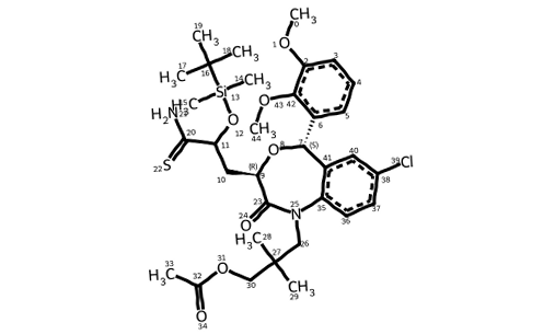 COc1cccc([C@H]2O[C@H](CC(O[Si](C)(C)C(C)(C)C)C(N)=S)C(=O)N(CC(C)(C)COC(C)=O)c3ccc(Cl)cc32)c1OC